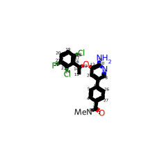 CNC(=O)c1ccc(-c2cnc(N)c(OC(C)c3c(Cl)ccc(F)c3Cl)c2)cc1